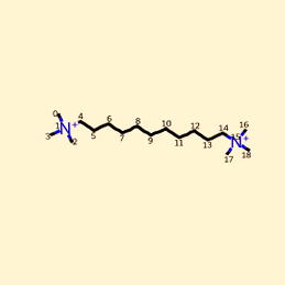 C[N+](C)(C)CCCCCCCCCCC[N+](C)(C)C